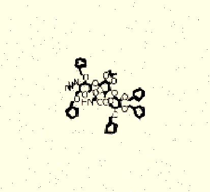 C[C@H]1O[C@@H](OC2C(OCc3ccccc3)C(N=[N+]=[N-])C(COCc3ccccc3)O[C@@H]2OC(=N)C(Cl)(Cl)Cl)C2OC(C)(C)OC2[C@H]1O[C@@H]1OC[C@@H](OCc2ccccc2)C(OCc2ccccc2)C1OCc1ccccc1